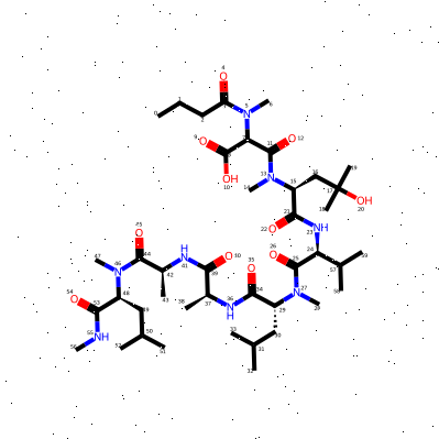 CCCC(=O)N(C)C(C(=O)O)C(=O)N(C)[C@@H](CC(C)(C)O)C(=O)N[C@H](C(=O)N(C)[C@H](CC(C)C)C(=O)N[C@@H](C)C(=O)N[C@@H](C)C(=O)N(C)[C@@H](CC(C)C)C(=O)NC)C(C)C